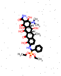 CCOP(=O)(OCC)C(Nc1ccc2c(c1O)C(=O)C1=C(O)[C@]3(O)C(=O)C(C(N)=O)=C(O)[C@@H](N(C)C)[C@@H]3[C@@H](O)[C@@H]1[C@H]2C)c1ccccc1